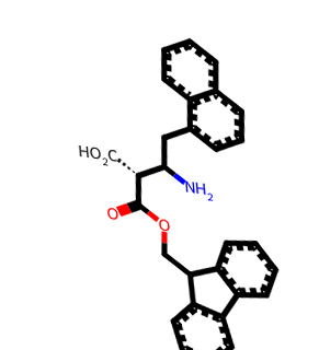 NC(Cc1cccc2ccccc12)[C@@H](C(=O)O)C(=O)OCC1c2ccccc2-c2ccccc21